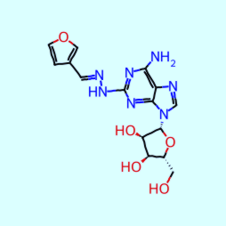 Nc1nc(N/N=C/c2ccoc2)nc2c1ncn2[C@@H]1O[C@H](CO)[C@@H](O)[C@H]1O